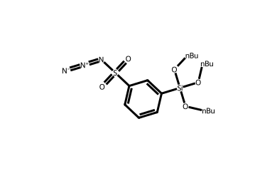 CCCCO[Si](OCCCC)(OCCCC)c1cccc(S(=O)(=O)N=[N+]=[N-])c1